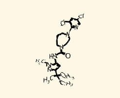 Cn1nc(C(C)(C)C)cc1NC(=O)N1CCCN(c2ncc(Cl)cc2Cl)CC1